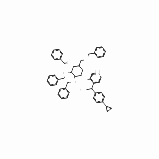 ClC(c1ccc(C2CC2)cc1)c1ccncc1OC1CC(COCc2ccccc2)C(OCc2ccccc2)C(OCc2ccccc2)C1OCc1ccccc1